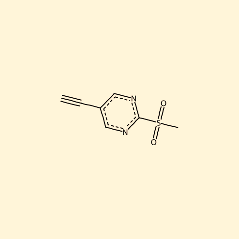 C#Cc1cnc(S(C)(=O)=O)nc1